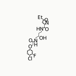 CCc1cc(C(=O)NCC[C@H](O)CNC(=O)COc2ccc(Cl)c(F)c2)no1